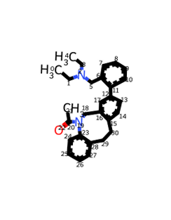 CCN(CC)Cc1ccccc1-c1ccc2c(c1)CN(C(C)=O)c1ccccc1CC2